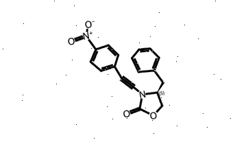 O=C1OC[C@H](Cc2ccccc2)N1C#Cc1ccc([N+](=O)[O-])cc1